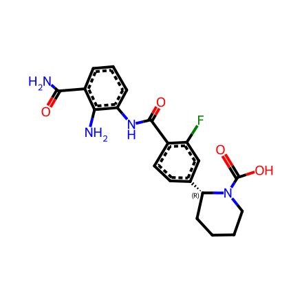 NC(=O)c1cccc(NC(=O)c2ccc([C@H]3CCCCN3C(=O)O)cc2F)c1N